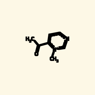 CC(=O)c1ccnc[n+]1C